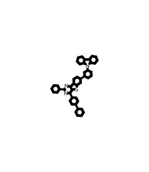 c1ccc(-c2ccc(-c3nc(-c4ccccc4)nc4c3sc3cc(-c5cccc(-n6c7ccccc7c7ccccc76)c5)ccc34)cc2)cc1